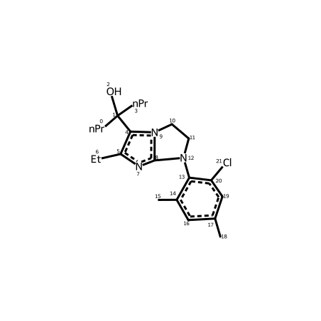 CCCC(O)(CCC)c1c(CC)nc2n1CCN2c1c(C)cc(C)cc1Cl